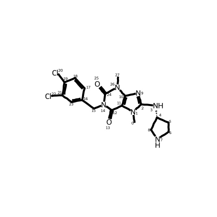 Cn1c(N[C@@H]2CCNC2)nc2c1c(=O)n(Cc1ccc(Cl)c(Cl)c1)c(=O)n2C